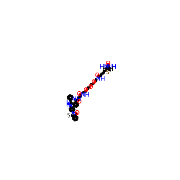 O=C(CCCCC1SC[C@@H]2NC(=O)N[C@H]12)NCCOCCOCCOCCNC(=O)CCC(=O)C1Nc2ccccc2-c2nnn(-c3ccc(-n4[se]c5ccccc5c4=O)cc3)c2-c2ccccc21